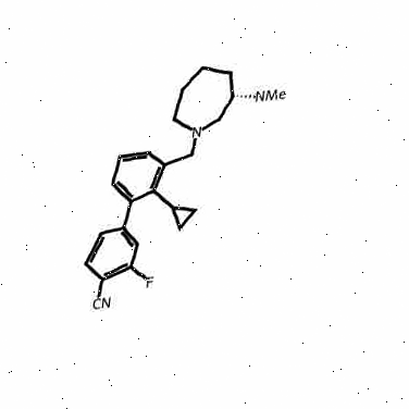 CN[C@H]1CCCCN(Cc2cccc(-c3ccc(C#N)c(F)c3)c2C2CC2)C1